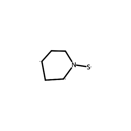 [S]N1[CH]C[CH]CC1